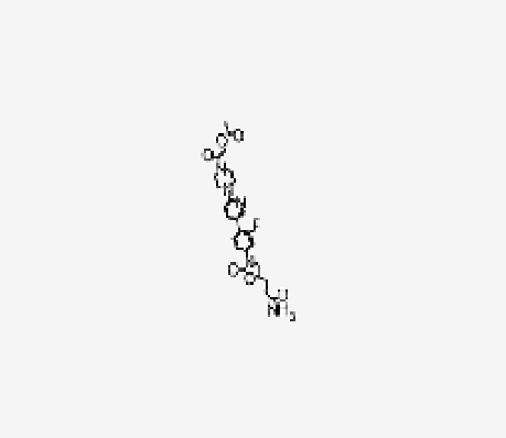 CC(=O)OCC(=O)N1CCN(c2ccc(-c3ccc(N4CC(CCC(N)=O)OC4=O)cc3F)cn2)CC1